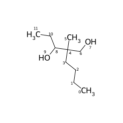 CCCCC(C)(CO)C(O)CC